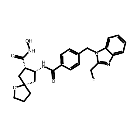 O=C(N[C@@H]1C[C@@]2(CCCO2)C[C@@H]1C(=O)NO)c1ccc(Cn2c(CF)nc3ccccc32)cc1